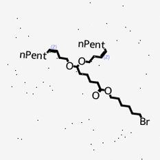 CCCCC/C=C\CCOC(CCCCC(=O)OCCCCCCBr)OCC/C=C\CCCCC